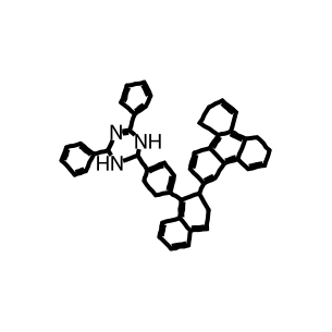 C1=Cc2c(c3c(c4ccc(C5CC=c6ccccc6=C5C5=CC=C(C6NC(c7ccccc7)=NC(c7ccccc7)N6)CC5)cc24)CCC=C3)CC1